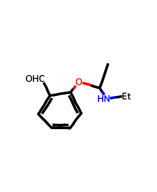 CCNC(C)Oc1ccccc1C=O